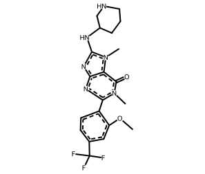 COc1cc(C(F)(F)F)ccc1-c1nc2nc(NC3CCCNC3)n(C)c2c(=O)n1C